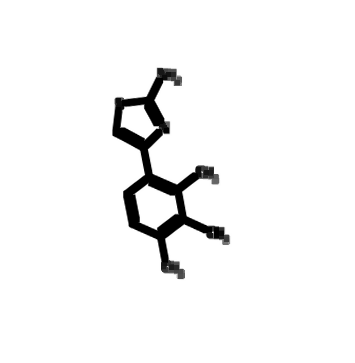 Cc1ccc(-c2csc(N)n2)c(C)c1C